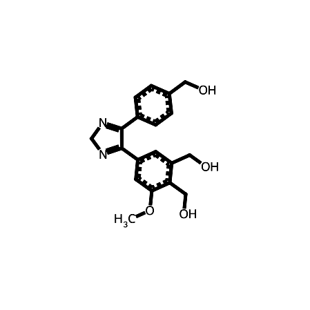 COc1cc(C2=NCN=C2c2ccc(CO)cc2)cc(CO)c1CO